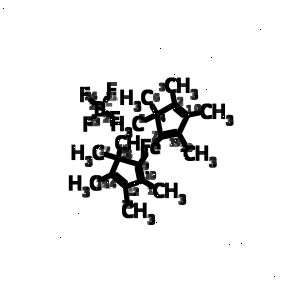 CC1=C(C)C(C)(C)[C]([Fe][C]2=C(C)C(C)=C(C)C2(C)C)=C1C.F[B-](F)(F)F